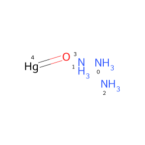 N.N.N.[O]=[Hg]